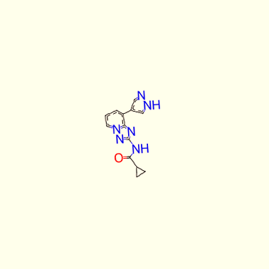 O=C(Nc1nc2c(-c3cn[nH]c3)cccn2n1)C1CC1